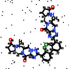 Cc1cn2nc(-c3cccc(-c4cccc(-c5nc6c(=O)n(C[C@@H]7CCC(=O)N7)c(C)cn6n5)c4Cl)c3Cl)nc2c(=O)n1C[C@@H]1CCC(=O)N1